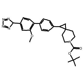 COc1cc(C2N=NN=N2)ccc1-c1ccc(C2CC23CCN(C(=O)OC(C)(C)C)CC3)cc1